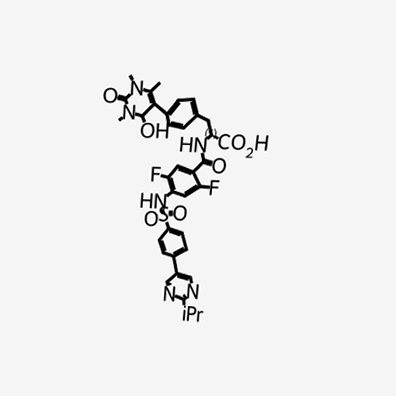 CC1=C(c2ccc(C[C@H](NC(=O)c3cc(F)c(NS(=O)(=O)c4ccc(-c5cnc(C(C)C)nc5)cc4)cc3F)C(=O)O)cc2)C(O)N(C)C(=O)N1C